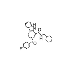 O=C(NCC1CCCCC1)C1=CN(C(=O)c2ccc(F)cc2)CCc2c1[nH]c1ccccc21